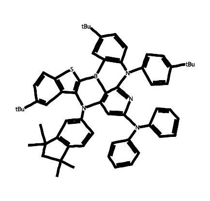 CC(C)(C)c1ccc(N2c3ccc(C(C)(C)C)cc3B3c4sc5ccc(C(C)(C)C)cc5c4N(c4ccc5c(c4)C(C)(C)CC5(C)C)c4cc(N(c5ccccc5)c5ccccc5)nc2c43)cc1